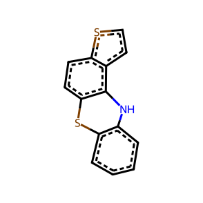 c1ccc2c(c1)Nc1c(ccc3sccc13)S2